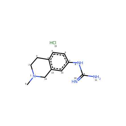 CN1CCc2ccc(NC(=N)N)cc2C1.Cl